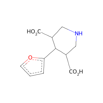 O=C(O)C1CNCC(C(=O)O)C1c1ccco1